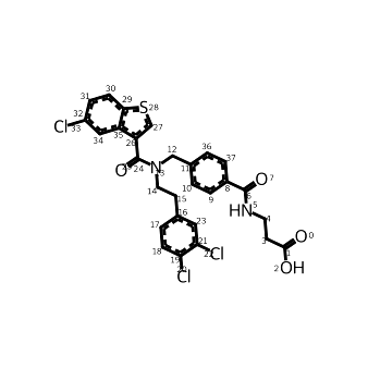 O=C(O)CCNC(=O)c1ccc(CN(CCc2ccc(Cl)c(Cl)c2)C(=O)c2csc3ccc(Cl)cc23)cc1